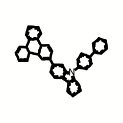 C1=CC2c3ccccc3C3C=CC(c4ccc5c6ccccc6n(-c6ccc(-c7ccccc7)cc6)c5c4)=CC3C2C=C1